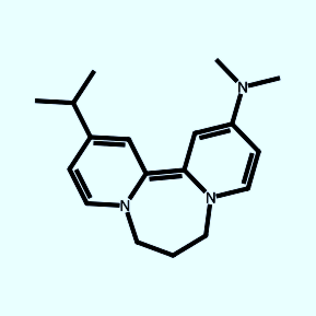 CC(C)C1=CC2=C3C=C(N(C)C)C=CN3CCCN2C=C1